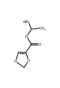 CC[CH]CC(C)OC(=O)C1=COCO1